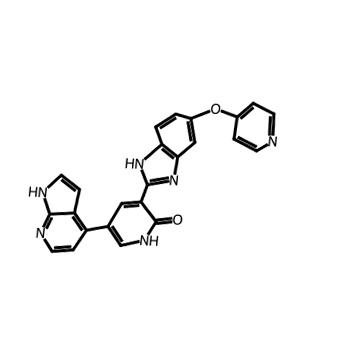 O=c1[nH]cc(-c2ccnc3[nH]ccc23)cc1-c1nc2cc(Oc3ccncc3)ccc2[nH]1